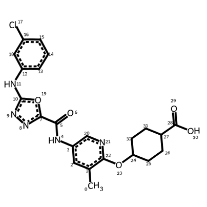 Cc1cc(NC(=O)c2nnc(Nc3cccc(Cl)c3)o2)cnc1OC1CCC(C(=O)O)CC1